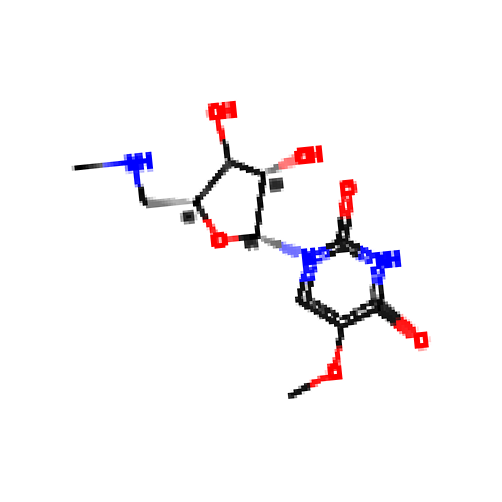 CNC[C@H]1O[C@@H](n2cc(OC)c(=O)[nH]c2=O)[C@@H](O)C1O